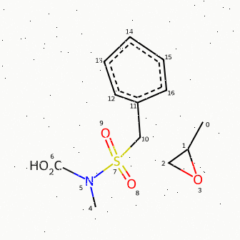 CC1CO1.CN(C(=O)O)S(=O)(=O)Cc1ccccc1